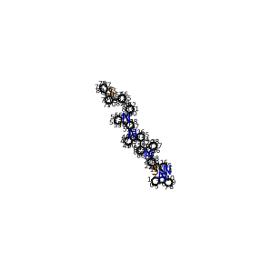 c1ccc2c(c#1)c1ccccc1n2-c1nccc2c1sc1ccc(-n3c4ccccc4c4c(-c5cccc6c5c5ccccc5n6-c5ccc6c(c5)c5ccccc5n6-c5cccc(-c6cccc(-c7cccc8c7sc7ccccc78)c6)c5)cccc43)cc12